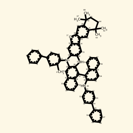 Cc1cc(-c2ccccc2)ccc1N1c2cc3oc4cc5c(cc4c3cc2Bc2c1cc1ccccc1c2-c1c(Nc2ccc(-c3ccccc3)cc2)ccc2ccccc12)C(C)(C)CCC5(C)C